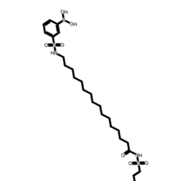 O=[C]CCCS(=O)(=O)NC(=O)CCCCCCCCCCCCCCCNS(=O)(=O)c1cccc(B(O)O)c1